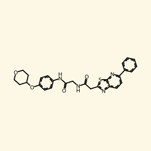 O=C(Cc1nc2ccc(-c3ccccc3)nc2s1)NCC(=O)Nc1ccc(OC2CCOCC2)cc1